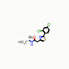 CC[C@H](C)[C@H](NC(=O)Cc1csc(-c2ccc(Cl)cc2Cl)n1)C(=O)O